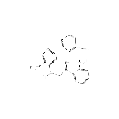 CCC(CC(CC)c1ccccc1C(=O)O)c1ccccc1C(=O)O.CCCCc1ccccc1